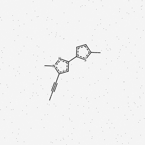 CC#Cc1cc(-c2ccc(C)s2)nn1C